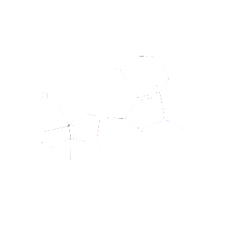 Cn1nc(B2OC(C)(C)C(C)(C)O2)c2c1COCC2